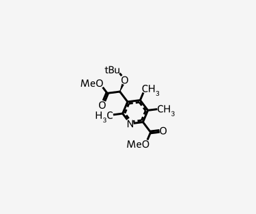 COC(=O)c1nc(C)c([C@H](OC(C)(C)C)C(=O)OC)c(C)c1C